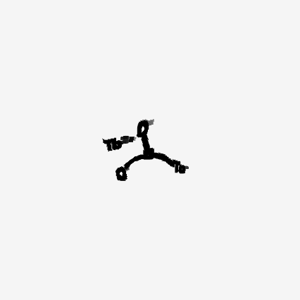 [O-]B([O-])[Te-].[Tb+3]